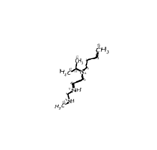 CCCCN(CCNCNC)C(C)C